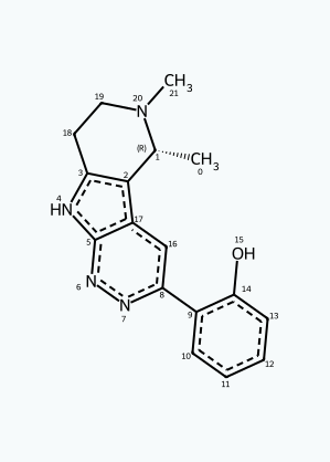 C[C@@H]1c2c([nH]c3nnc(-c4ccccc4O)cc23)CCN1C